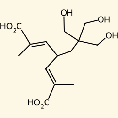 CC(=CC(C=C(C)C(=O)O)CC(CO)(CO)CO)C(=O)O